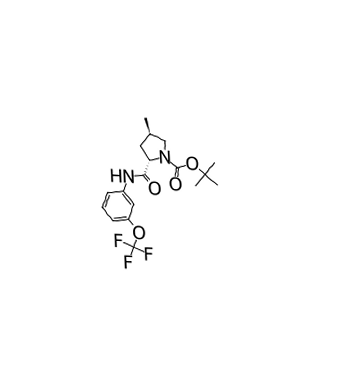 C[C@@H]1C[C@@H](C(=O)Nc2cccc(OC(F)(F)F)c2)N(C(=O)OC(C)(C)C)C1